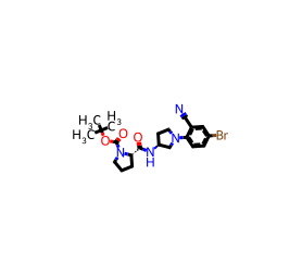 CC(C)(C)OC(=O)N1CCC[C@H]1C(=O)N[C@H]1CCN(c2ccc(Br)cc2C#N)C1